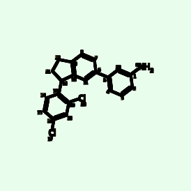 Nc1cccc(-c2ccc3c(c2)C(c2ccc(Cl)cc2Cl)CC3)c1